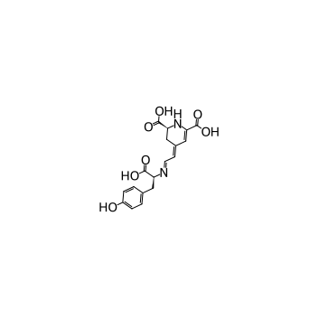 O=C(O)C1=C/C(=C/C=N/[C@@H](Cc2ccc(O)cc2)C(=O)O)C[C@@H](C(=O)O)N1